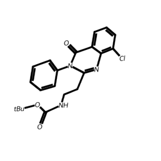 CC(C)(C)OC(=O)NCCc1nc2c(Cl)cccc2c(=O)n1-c1ccccc1